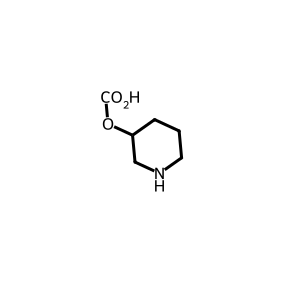 O=C(O)OC1CCCNC1